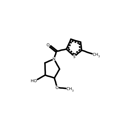 COC1CN(C(=O)c2ccc(C)s2)CC1O